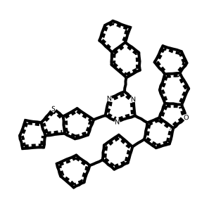 c1ccc(-c2ccc(-c3ccc4oc5cc6ccccc6cc5c4c3-c3nc(-c4ccc5ccccc5c4)nc(-c4ccc5c(c4)sc4ccccc45)n3)cc2)cc1